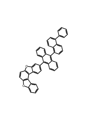 c1ccc(-c2cccc3c(-c4c5ccccc5c(-c5ccc6c(c5)oc5ccc7oc8ccccc8c7c56)c5ccccc45)cccc23)cc1